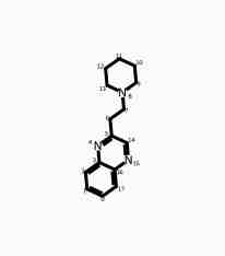 c1ccc2nc(CCN3CCCCC3)cnc2c1